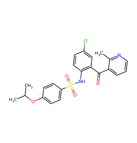 Cc1ncccc1C(=O)c1cc(Cl)ccc1NS(=O)(=O)c1ccc(OC(C)C)cc1